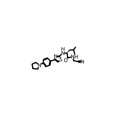 CC(C)C[C@H](Nc1nc(-c2ccc(N3CCCC3)cc2)cs1)C(=O)NCC#N